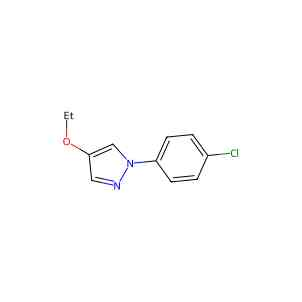 CCOc1cnn(-c2ccc(Cl)cc2)c1